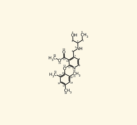 CCC(CO)NCc1ccnc(Oc2c(C)cc(C)cc2C)c1C(=O)OC